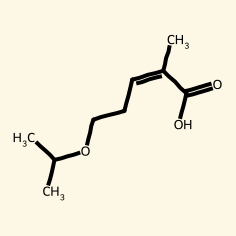 CC(=CCCOC(C)C)C(=O)O